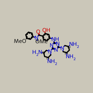 COc1cccc(N(OC)C(=O)c2ccc(Nc3nc(N4C[C@H](N)C[C@H](N)C4)nc(N4C[C@H](N)C[C@H](N)C4)n3)cc2O)c1